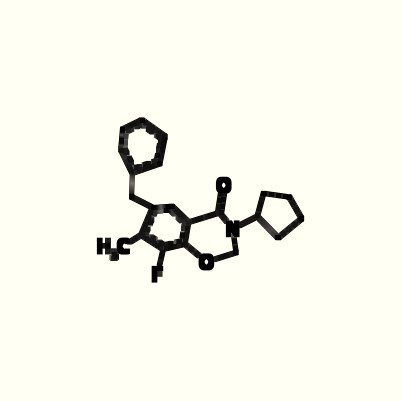 Cc1c(Cc2ccccc2)cc2c(c1F)OCN(C1CCCC1)C2=O